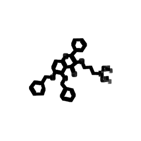 CN(C)CCCOc1c(-c2ccccc2)oc2ccc(OCc3ccccc3)c(OCc3ccccc3)c2c1=O